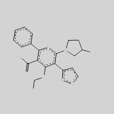 NC(=O)c1c(-c2ccccc2)nc(N2CCC(O)C2)c(-c2ccn[nH]2)c1OCF